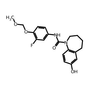 COCOc1ccc(NC(=O)N2CCCCc3cc(O)ccc32)cc1F